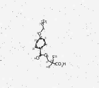 CCOCOc1ccc(C(=O)OCC(F)(F)C(=O)O)cc1